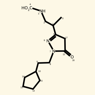 CC(CNC(=O)O)C1=NN(CCC2CCCC2)C(=O)C1